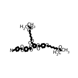 C=C(C)C(=O)OCCCCCCOC(=O)c1cc(OC(=O)c2ccc(OCCCCCCOC(=O)C(=C)C)cc2)ccc1OC(=O)c1ccc(OC(=O)c2ccc(C#N)cc2)cc1